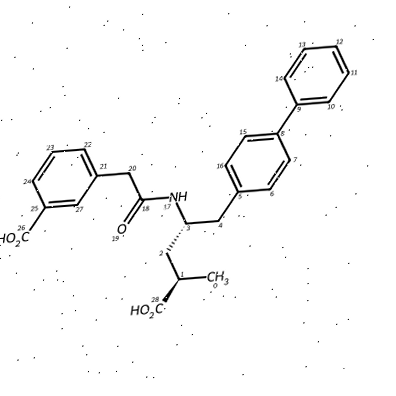 C[C@H](C[C@@H](Cc1ccc(-c2ccccc2)cc1)NC(=O)Cc1cccc(C(=O)O)c1)C(=O)O